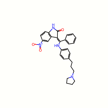 O=C1Nc2ccc([N+](=O)[O-])cc2C1=C(Nc1ccc(CCCN2CCCC2)cc1)c1ccccc1